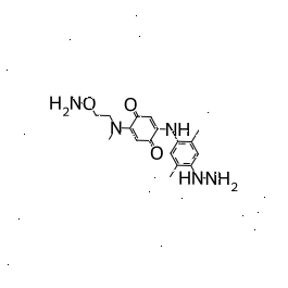 Cc1cc(NC2=CC(=O)C(N(C)CCON)=CC2=O)c(C)cc1NN